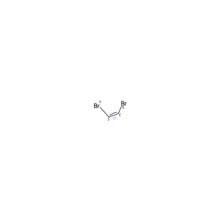 Br/[C]=C\Br